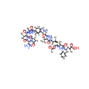 CCCCC[N+](C)(CC(=O)N[C@H](C(=O)N(C)[C@H](C[C@@H](OC(C)=O)c1nc(C(=O)N[C@@H](Cc2ccccc2)C[C@H](C)C(=O)O)cs1)C(C)C)[C@@H](C)CC)Cc1ccc(NC(=O)[C@H](C)NC(=O)[C@@H](NC(=O)[C@H](CN)N2C(=O)C=CC2=O)C(C)C)cc1